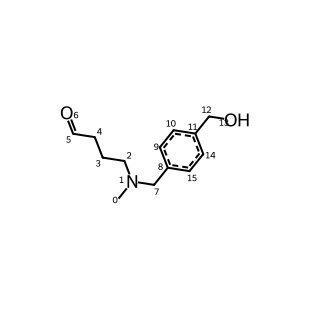 CN(CCCC=O)Cc1ccc(CO)cc1